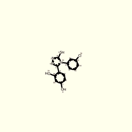 Oc1ccc(-c2nnc(S)n2-c2cccc(Cl)c2)c(O)c1